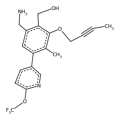 CC#CCOc1c(C)c(-c2ccc(OC(F)(F)F)nc2)cc(CN)c1CO